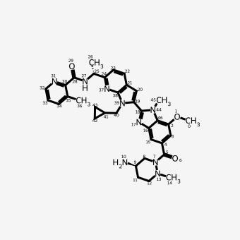 COc1cc(C(=O)N2C[C@H](N)CCN2C)cc2nc(-c3cc4ccc([C@@H](C)NC(=O)c5ncccc5C)nc4n3CC3CC3)n(C)c12